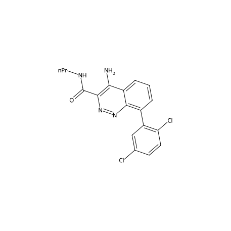 CCCNC(=O)c1nnc2c(-c3cc(Cl)ccc3Cl)cccc2c1N